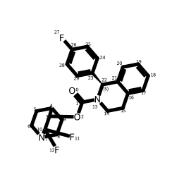 O=C(OC1C2CCN(CC2)C1(F)F)N1CCc2ccccc2[C@@H]1c1ccc(F)cc1